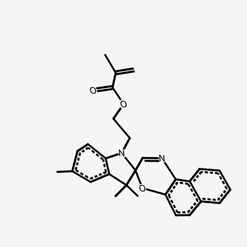 C=C(C)C(=O)OCCN1c2ccc(C)cc2C(C)(C)C12C=Nc1c(ccc3ccccc13)O2